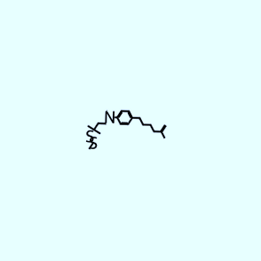 C=C(C)CCCCc1ccc(N(C)CCC(C)(C)SSC)cc1